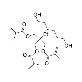 C=C(C)C(=O)OCC(CC)(COC(=O)C(=C)C)COC(=O)C(=C)C.OCCCCCCO